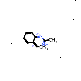 C/C=C1/C=CC=C/C1=N/C(C)=N